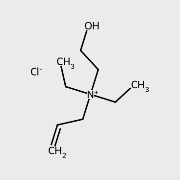 C=CC[N+](CC)(CC)CCO.[Cl-]